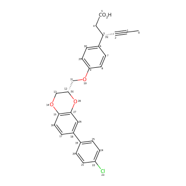 CC#C[C@@H](CC(=O)O)c1ccc(OC[C@H]2COc3ccc(-c4ccc(Cl)cc4)cc3O2)cc1